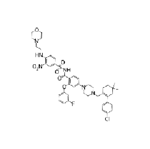 CC1(C)CCC(CN2CCN(c3ccc(C(=O)NS(=O)(=O)c4ccc(NCCN5CCOCC5)c([N+](=O)[O-])c4)c(Oc4cccc(F)c4)c3)CC2)=C(c2ccc(Cl)cc2)C1